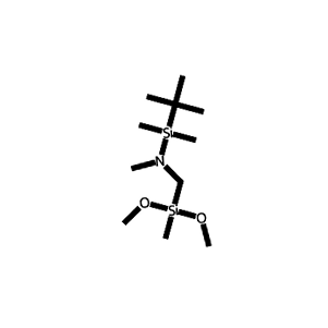 CO[Si](C)(CN(C)[Si](C)(C)C(C)(C)C)OC